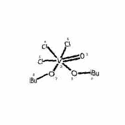 CCC(C)[O][V](=[O])([Cl])([Cl])([Cl])[O]C(C)CC